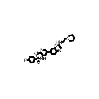 O=S(=O)(Nc1cc(-c2ccc3ncc(NCCN4CCCCC4)nc3c2)cnc1Cl)c1ccc(F)cc1